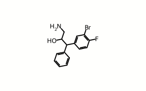 NCC(O)C(c1ccccc1)c1ccc(F)c(Br)c1